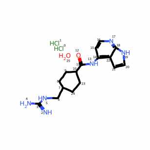 Cl.Cl.N=C(N)NCC1CCC(C(=O)Nc2ccnc3[nH]ccc23)CC1.O